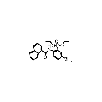 Bc1ccc(NC(=O)c2cccc3ccccc23)c(P(=O)(OCC)OCC)c1